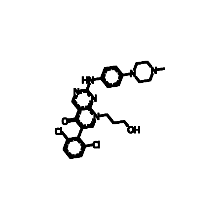 CN1CCN(c2ccc(Nc3ncc4c(=O)c(-c5c(Cl)cccc5Cl)cn(CCCO)c4n3)cc2)CC1